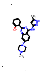 Cc1cc(Nc2nc(-c3ccccc3O)nc3cc(N4CCN(C)CC4)ccc23)n[nH]1